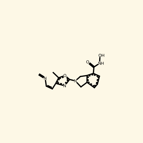 C=N/C=C\c1nc(N2Cc3cccc(C(=O)NO)c3C2)oc1C